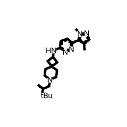 Cc1cnn(C)c1-c1ccc(NC2CC3(CCN(CC(C)C(C)(C)C)CC3)C2)nn1